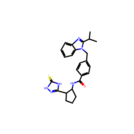 CC(C)c1nc2ccccc2n1Cc1ccc(C(=O)NC2CCCC2c2n[nH]c(=S)[nH]2)cc1